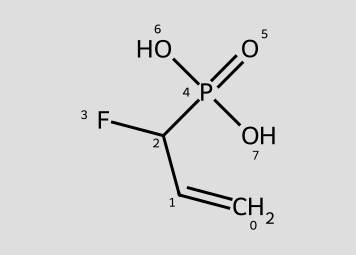 C=CC(F)P(=O)(O)O